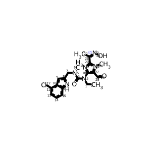 CCN(C(=O)N(C)Cc1cc2c(Cl)cccc2[nH]1)c1nc(/C(C)=N\O)n(C)c1C=O